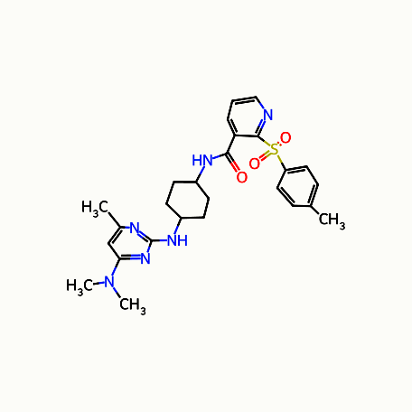 Cc1ccc(S(=O)(=O)c2ncccc2C(=O)NC2CCC(Nc3nc(C)cc(N(C)C)n3)CC2)cc1